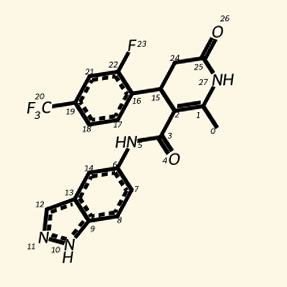 CC1=C(C(=O)Nc2ccc3[nH]ncc3c2)C(c2ccc(C(F)(F)F)cc2F)CC(=O)N1